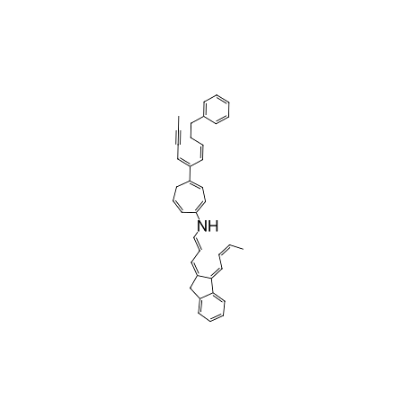 CC#C/C=C(\C=C/CCc1ccccc1)C1=CC=C(N/C=C/C=C2/Cc3ccccc3/C2=C/C=C\C)C=CC1